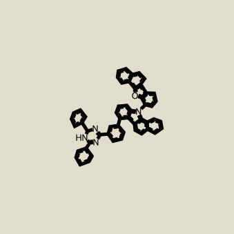 c1ccc(C2=NC(c3cccc(-c4cccc5c4c4ccc6ccccc6c4n5-c4cccc5c4oc4c6ccccc6ccc54)c3)=NC(c3ccccc3)N2)cc1